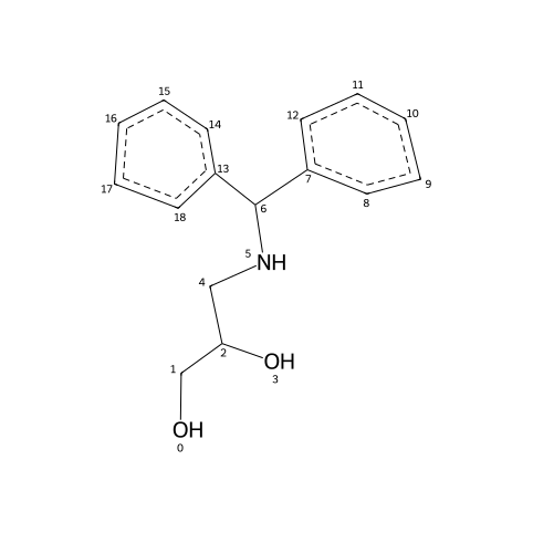 OCC(O)CNC(c1ccccc1)c1ccccc1